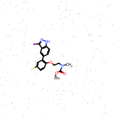 CN(CCOc1ccc(F)cc1-c1ccc2[nH]nc(I)c2c1)C(=O)OC(C)(C)C